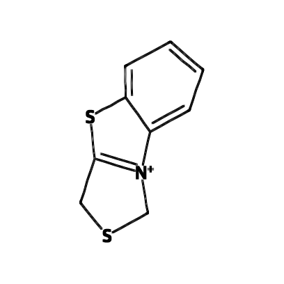 c1ccc2c(c1)sc1[n+]2CSC1